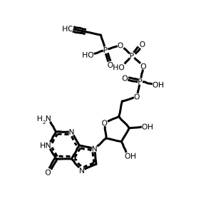 C#CCP(=O)(O)OP(=O)(O)OP(=O)(O)OCC1OC(n2cnc3c(=O)[nH]c(N)nc32)C(O)C1O